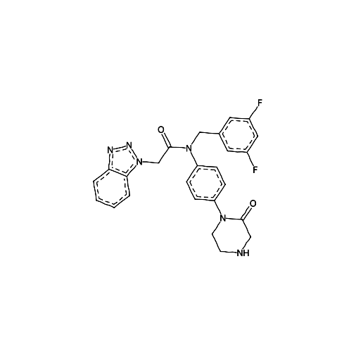 O=C1CNCCN1c1ccc(N(Cc2cc(F)cc(F)c2)C(=O)Cn2nnc3ccccc32)cc1